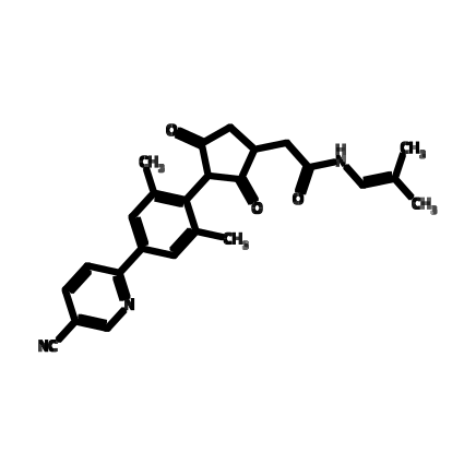 CC(C)=CNC(=O)CC1CC(=O)C(c2c(C)cc(-c3ccc(C#N)cn3)cc2C)C1=O